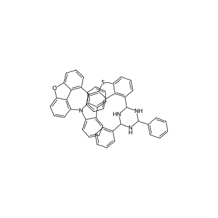 c1ccc(C2NC(c3ccccc3)NC(c3cccc4sc5c(-c6cccc7oc8cccc(-n9c%10ccccc%10c%10ccccc%109)c8c67)cccc5c34)N2)cc1